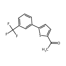 CC(=O)c1ccc(-c2cccc(C(F)(F)F)c2)s1